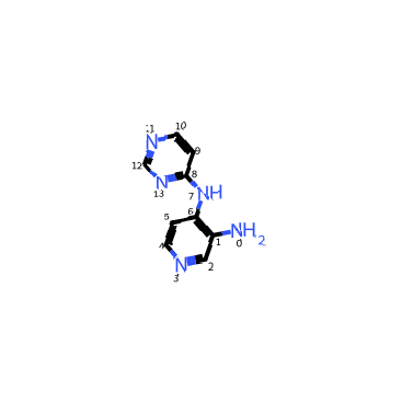 Nc1cnccc1Nc1ccncn1